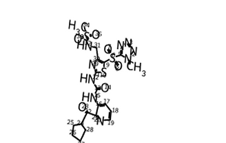 Cn1nnnc1S(=O)(=O)c1sc(NC(=O)Nc2cccnc2C(=O)C2CCCC2)nc1CNS(C)(=O)=O